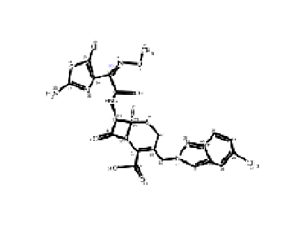 CO/N=C(\C(=O)N[C@@H]1C(=O)N2C(C(=O)[O-])=C(Cn3cc4cc(C)cc[n+]4n3)CS[C@H]12)c1nc(N)sc1Cl